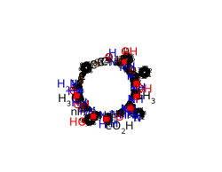 CCC[C@@H]1NC(=O)[C@H](Cc2c[nH]c3ncccc23)NC(=O)[C@H]([C@@H](C)O)NC(=O)[C@@H]2C[C@@H](c3ccccc3)CN2C(=O)[C@H](Cc2ccc(O)cc2)NC(=O)[C@H](C(C)(C)C)NC(=O)CCSCc2cccc(c2)CSC[C@@H](C(N)=O)NC(=O)[C@H]([C@@H](C)O)NC(=O)[C@H](CCC)NC(=O)[C@H](Cc2ccc(O)cc2)NC(=O)[C@H](CCC(=O)O)NC1=O